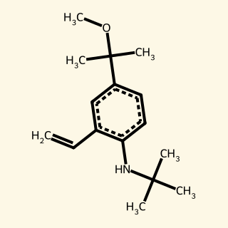 C=Cc1cc(C(C)(C)OC)ccc1NC(C)(C)C